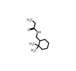 CCC(=O)NCC1CCCCC1(C)C